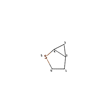 C1CC2CC2S1